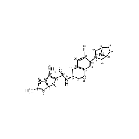 Cc1nc2sc(C(=O)N[C@@H]3COc4cc(N5CC6CCC(C5)N6)c(F)cc4C3)c(N)c2s1